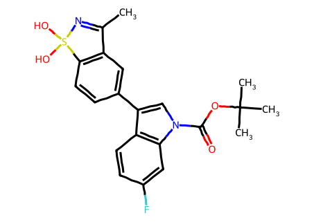 CC1=NS(O)(O)c2ccc(-c3cn(C(=O)OC(C)(C)C)c4cc(F)ccc34)cc21